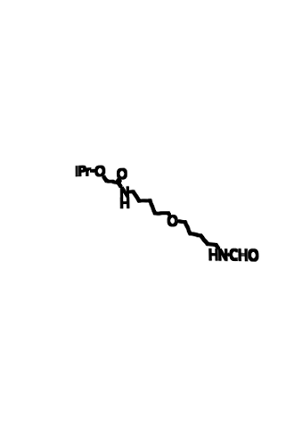 CC(C)OCC(=O)NCCCCCOCCCCCNC=O